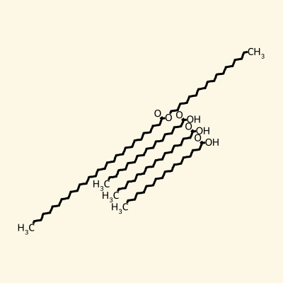 CCCCCCCCCCCCCCCCCC(=O)O.CCCCCCCCCCCCCCCCCC(=O)O.CCCCCCCCCCCCCCCCCC(=O)O.CCCCCCCCCCCCCCCCCCCCCCCCCCCCCC(=O)OCCCCCCCCCCCCCCCCCC